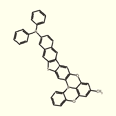 Cc1cc2c3c(c1)Oc1cc4c(cc1B3c1ccccc1O2)sc1cc2cc(N(c3ccccc3)c3ccccc3)ccc2cc14